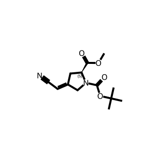 COC(=O)[C@@H]1CC(=CC#N)CN1C(=O)OC(C)(C)C